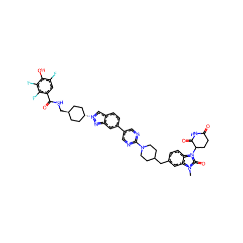 Cn1c(=O)n(C2CCC(=O)NC2=O)c2ccc(CC3CCN(c4ncc(-c5ccc6cn([C@H]7CC[C@H](CNC(=O)c8cc(F)c(O)c(F)c8F)CC7)nc6c5)cn4)CC3)cc21